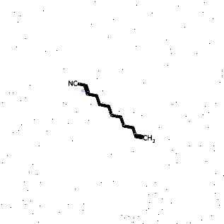 C=CCCCCCCC/C=C/C#N